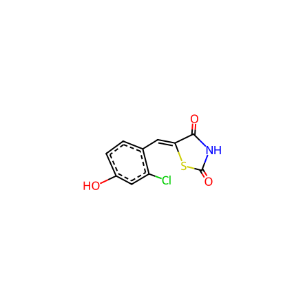 O=C1NC(=O)C(=Cc2ccc(O)cc2Cl)S1